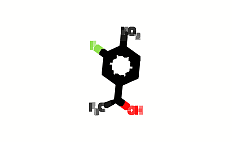 O=[N+]([O-])c1ccc([C@@H](O)C(F)(F)F)cc1F